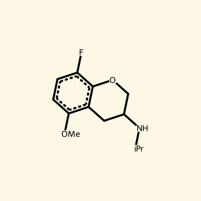 COc1ccc(F)c2c1CC(NC(C)C)CO2